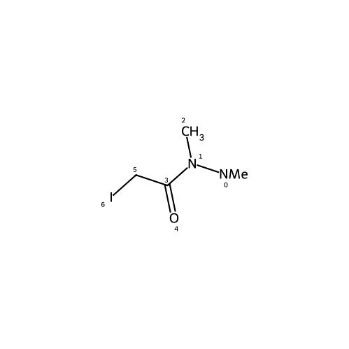 CNN(C)C(=O)CI